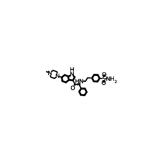 CN1CCN(c2ccc3c(C(=O)[C@H](NCCc4ccc(S(N)(=O)=O)cc4)c4ccccc4)c[nH]c3c2)CC1